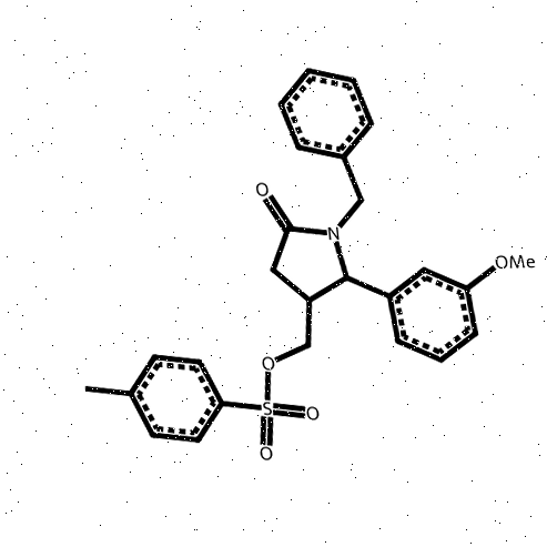 COc1cccc(C2C(COS(=O)(=O)c3ccc(C)cc3)CC(=O)N2Cc2ccccc2)c1